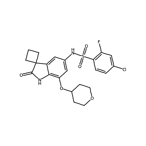 O=C1Nc2c(OC3CCOCC3)cc(NS(=O)(=O)c3ccc(Cl)cc3F)cc2C12CCC2